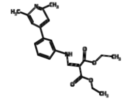 CCOC(=O)C(=CNc1cccc(-c2cc(C)nc(C)c2)c1)C(=O)OCC